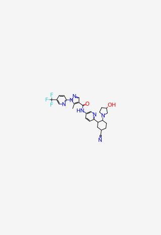 Cc1c(C(=O)Nc2ccc(C3CC(C#N)CCC3N3CCC(O)C3)nc2)cnn1-c1ccc(C(F)(F)F)cn1